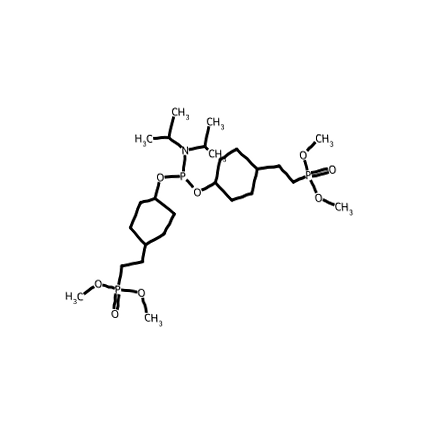 COP(=O)(CCC1CCC(OP(OC2CCC(CCP(=O)(OC)OC)CC2)N(C(C)C)C(C)C)CC1)OC